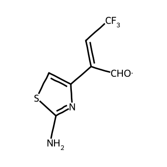 Nc1nc(C([C]=O)=CC(F)(F)F)cs1